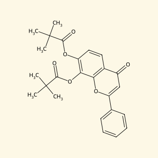 CC(C)(C)C(=O)Oc1ccc2c(=O)cc(-c3ccccc3)oc2c1OC(=O)C(C)(C)C